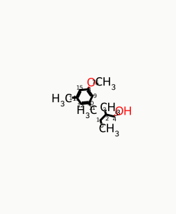 CCC(C)CO.COc1cc(C)cc(C)c1